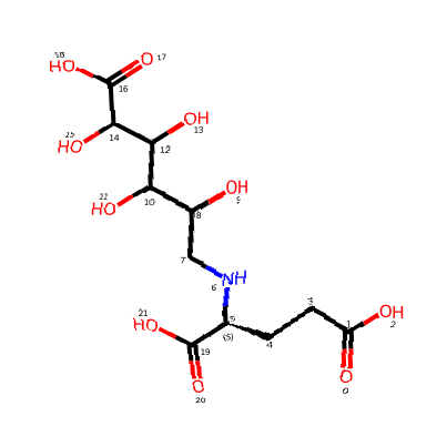 O=C(O)CC[C@H](NCC(O)C(O)C(O)C(O)C(=O)O)C(=O)O